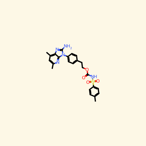 Cc1ccc(S(=O)(=O)NC(=O)OCCc2ccc(-n3c(N)nc4c(C)cc(C)nc43)cc2)cc1